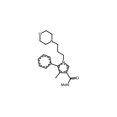 CNC(=O)c1cn(CCCN2CCOCC2)c(-c2ccccc2)c1C